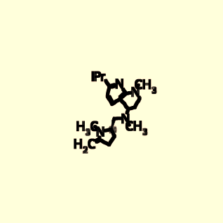 C=C1CC[C@H](CN(C)C2CCN(C)c3nc(C(C)C)ccc32)N1C